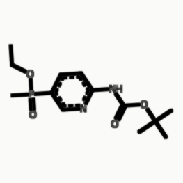 CCOP(C)(=O)c1ccc(NC(=O)OC(C)(C)C)nc1